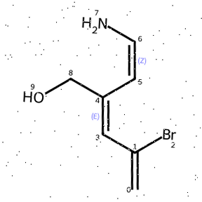 C=C(Br)/C=C(\C=C/N)CO